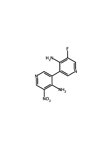 Nc1c(F)cncc1-c1cncc([N+](=O)[O-])c1N